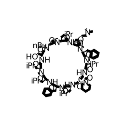 CCCCN1CC(=O)N(C)[C@@H](CC(C)C)C(=O)N[C@@H](COCCN(C)C)C(=O)N(C)[C@@H](Cc2ccccc2)C(=O)N(C)[C@@H](C(C)C)C(=O)N[C@H](C(=O)N2CCCCC2)CC(=O)N[C@H](CC(C)C)C(=O)N(C)[C@@H](Cc2ccccc2)C(=O)N[C@@H](CC(C)C)C(=O)N(C)[C@@H](CC(C)C)C(=O)N[C@@H]([C@@H](C)O)C1=O